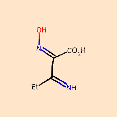 CCC(=N)/C(=N/O)C(=O)O